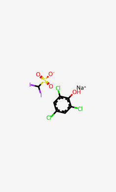 O=S(=O)([O-])C(I)I.Oc1c(Cl)cc(Cl)cc1Cl.[Na+]